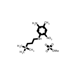 COS(=O)(=O)[O-].Cc1cc([N+](=O)[O-])c(NCCC[N+](C)(C)C)cc1N